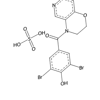 O=C(c1cc(Br)c(O)c(Br)c1)N1CCOc2ccncc21.O=S(=O)(O)O